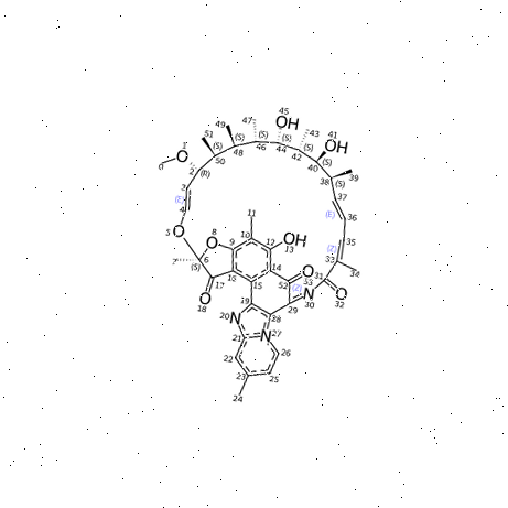 CO[C@H]1/C=C/O[C@@]2(C)Oc3c(C)c(O)c4c(c3C2=O)-c2nc3cc(C)ccn3c2/C(=N/C(=O)/C(C)=C\C=C\[C@H](C)[C@H](O)[C@@H](C)[C@@H](O)[C@@H](C)[C@H](C)[C@@H]1C)C4=O